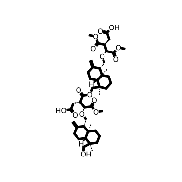 C=C1CC[C@H]2[C@](C)(COC(=O)[C@@H](CC(=O)O)[C@@H](OC[C@H]3C(=C)CC[C@H]4[C@](C)(CO)CCC[C@]34C)C(=O)OC)CCC[C@]2(C)[C@H]1CO[C@@H](C(=O)OC)[C@H](CC(=O)O)C(=O)OC